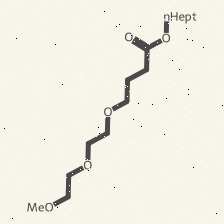 CCCCCCCOC(=O)CCCOCCOCCOC